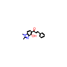 Cc1nc2c(O)c(C(=O)C=Cc3ccccc3)ccc2n1C